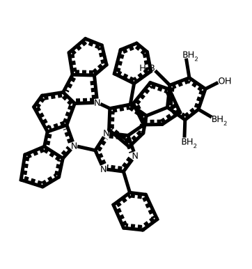 Bc1c(B)c(-c2cccc(-n3c4ccccc4c4ccc5c6ccccc6n(-c6nc(-c7ccccc7)nc(-c7ccccc7)n6)c5c43)c2-c2ccccc2)c(B)c(B)c1O